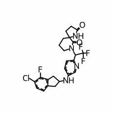 O=C1CCC2(CCCN(C(c3ccc(NC4Cc5ccc(Cl)c(F)c5C4)cn3)C(F)(F)F)C2=O)N1